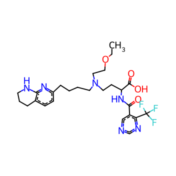 CCOCCN(CCCCc1ccc2c(n1)NCCC2)CCC(NC(=O)c1cncnc1C(F)(F)F)C(=O)O